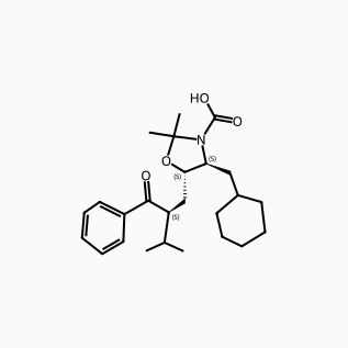 CC(C)[C@H](C[C@@H]1OC(C)(C)N(C(=O)O)[C@H]1CC1CCCCC1)C(=O)c1ccccc1